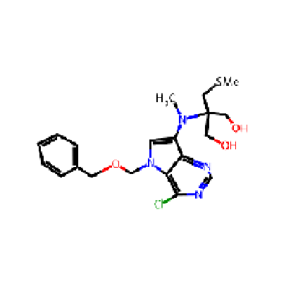 CSCC(CO)(CO)N(C)c1cn(COCc2ccccc2)c2c(Cl)ncnc12